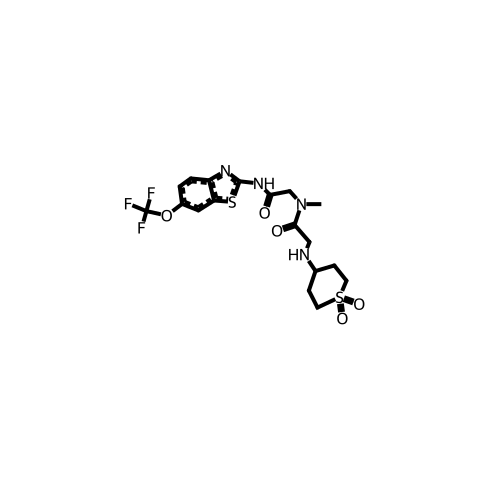 CN(CC(=O)Nc1nc2ccc(OC(F)(F)F)cc2s1)C(=O)CNC1CCS(=O)(=O)CC1